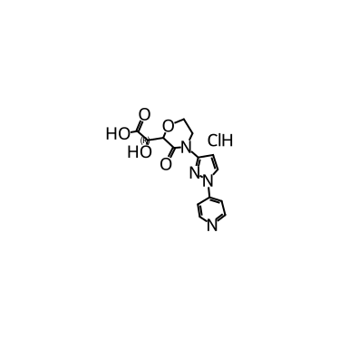 Cl.O=C(O)[C@H](O)C1OCCN(c2ccn(-c3ccncc3)n2)C1=O